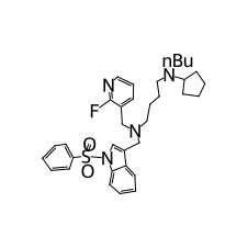 CCCCN(CCCCN(Cc1cccnc1F)Cc1cn(S(=O)(=O)c2ccccc2)c2ccccc12)C1CCCC1